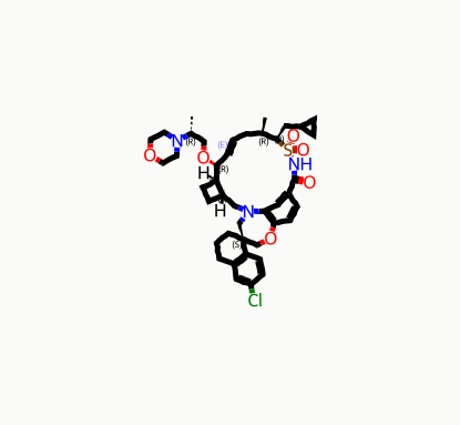 C[C@@H]1C/C=C/[C@H](OC[C@@H](C)N2CCOCC2)[C@@H]2CC[C@H]2CN2C[C@@]3(CCCc4cc(Cl)ccc43)COc3ccc(cc32)C(=O)NS(=O)(=O)[C@@H]1CC1CC1